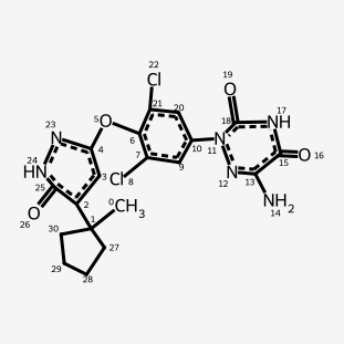 CC1(c2cc(Oc3c(Cl)cc(-n4nc(N)c(=O)[nH]c4=O)cc3Cl)n[nH]c2=O)CCCC1